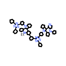 CCN1c2cc(-c3cccc(-c4nc(-c5ccccc5)nc(-c5ccc(-n6c7c(c8ccccc86)-c6cnccc6N(c6ccccc6)c6ccccc6-7)cc5)n4)c3)ccc2-c2c(n(-c3cccc(-c4nc(-c5ccccc5)nc(-c5ccccc5)n4)c3)c3ccccc23)-c2ccccc21